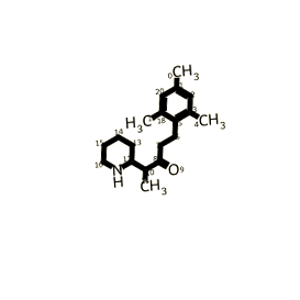 Cc1cc(C)c(CCC(=O)C(C)C2CCCCN2)c(C)c1